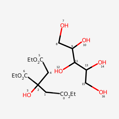 CCOC(=O)CC(O)(CC(=O)OCC)C(=O)OCC.OCC(O)C(O)C(O)CO